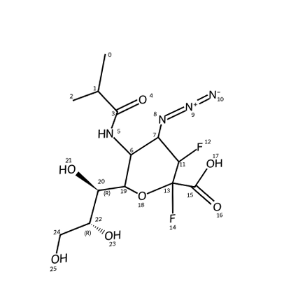 CC(C)C(=O)NC1C(N=[N+]=[N-])C(F)C(F)(C(=O)O)OC1[C@H](O)[C@H](O)CO